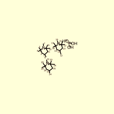 CC1CC(C)(C)N(C)C(C)(C)C1.CC1CC(C)(C)N(C)C(C)(C)C1.CC1CC(C)(C)N(C)C(C)(C)C1.OP(O)O